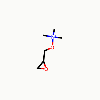 C[N+](C)(C)OCC1CO1